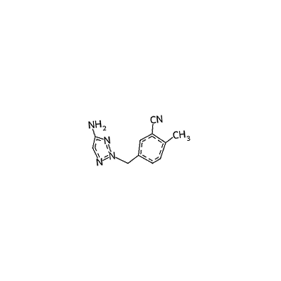 Cc1ccc(Cn2ncc(N)n2)cc1C#N